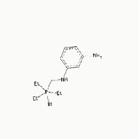 CCP(CC)(CC)(CC)CNc1cccc(N)c1